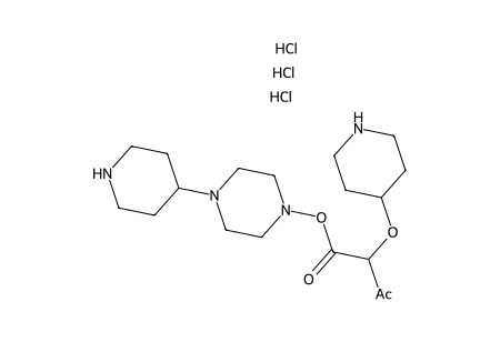 CC(=O)C(OC1CCNCC1)C(=O)ON1CCN(C2CCNCC2)CC1.Cl.Cl.Cl